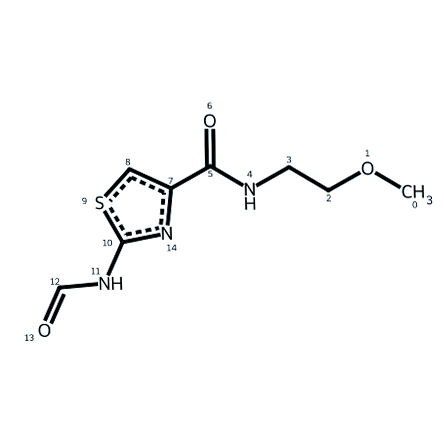 COCCNC(=O)c1csc(NC=O)n1